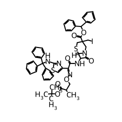 CC(CON=C(C(=O)NC1C(=O)N2CC(CI)(C(=O)OC(c3ccccc3)c3ccccc3)CS[C@H]12)c1csc(NC(c2ccccc2)(c2ccccc2)c2ccccc2)n1)C(=O)OC(C)(C)C